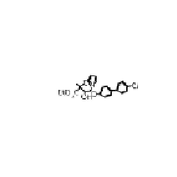 CCOC(=O)C(C)(CC)C(O)C(Oc1ccc(-c2ccc(Cl)cc2)cc1)n1cccc1